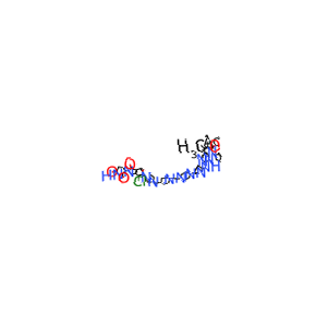 CC(=O)c1c(C)c2cnc(Nc3ccc(N4CCN(CCN5CCC(CN6CCN(c7ccc8c(c7Cl)CN(C7CCC(=O)NC7=O)C8=O)CC6)CC5)CC4)cn3)nc2n(C2CCCC2)c1=O